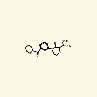 CC(=O)O[C@@H](C(=O)O)[C@H]1OCCN(c2cccc(C(=O)N3CCCCC3)c2)C1=O